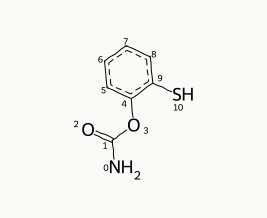 NC(=O)Oc1ccccc1S